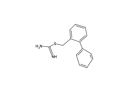 N=C(N)SCc1ccccc1-c1ccccc1